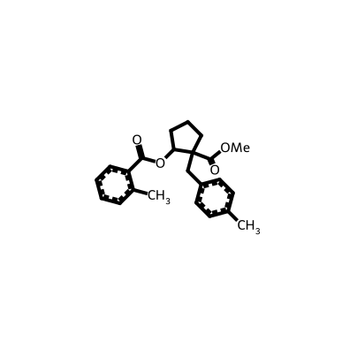 COC(=O)C1(Cc2ccc(C)cc2)CCCC1OC(=O)c1ccccc1C